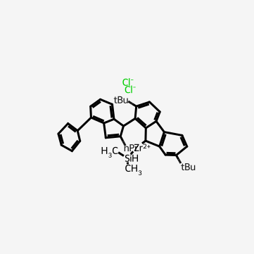 CCCC1=Cc2c(-c3ccccc3)cccc2C1c1c(C(C)(C)C)ccc2c1[CH]([Zr+2][SiH](C)C)c1cc(C(C)(C)C)ccc1-2.[Cl-].[Cl-]